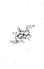 C[C@H]1C(=O)SC(C(=O)O)N2C(=O)[C@H]([C@@](C)(O[SiH](C)C)C(C)(C)C)[C@@H]12